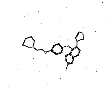 Oc1ccc2c(Oc3ccc(OCCN4CCCCC4)cc3)c(C3C=CSC3)ccc2c1